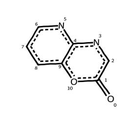 O=c1cnc2ncccc2o1